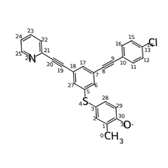 Cc1cc(Sc2cc(C#Cc3ccc(Cl)cc3)cc(C#Cc3ccccn3)c2)ccc1[O]